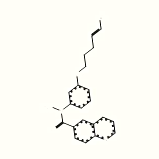 CCCC=CCCCOc1cccc(N(C)C(=O)c2ccc3ncccc3c2)c1